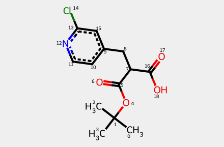 CC(C)(C)OC(=O)C(Cc1ccnc(Cl)c1)C(=O)O